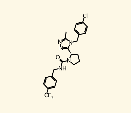 Cc1nnc([C@H]2CCCN2C(=O)NCc2ccc(C(F)(F)F)cc2)n1Cc1ccc(Cl)cc1